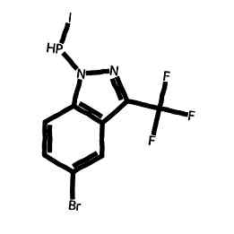 FC(F)(F)c1nn(PI)c2ccc(Br)cc12